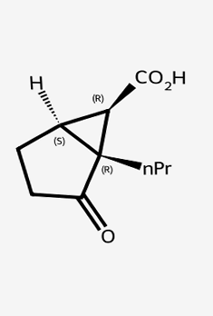 CCC[C@@]12C(=O)CC[C@H]1[C@H]2C(=O)O